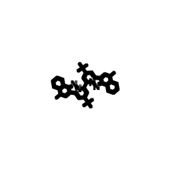 Cc1cc2c(nn3c(-c4cc(C(C)(C)C)cc5c6cc(C)c7ccccc7c6nn45)cc(C(C)(C)C)cc23)c2ccccc12